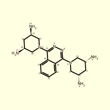 N[C@@H]1C[C@H](N)CN(c2nnc(N3C[C@H](N)C[C@H](N)C3)c3ccccc23)C1